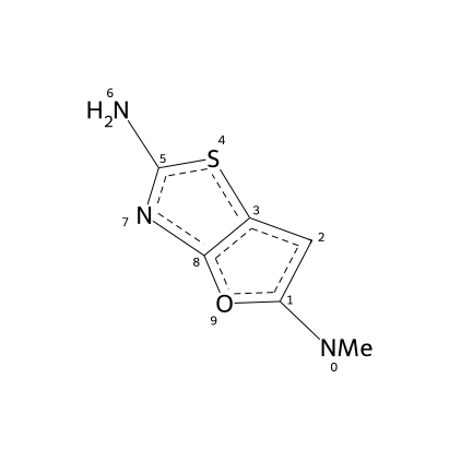 CNc1cc2sc(N)nc2o1